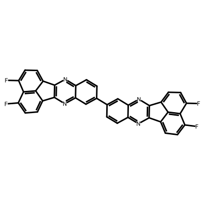 Fc1ccc2c3c(ccc(F)c13)-c1nc3cc(-c4ccc5nc6c(nc5c4)-c4ccc(F)c5c(F)ccc-6c45)ccc3nc1-2